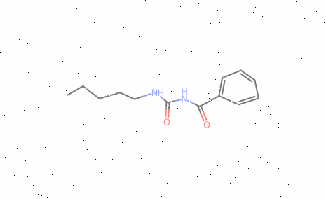 CCCCCNC(=O)NC(=O)c1ccccc1